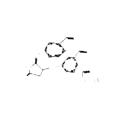 C=CC(=O)O.C=Cc1ccccc1.C=Cc1ccccc1.O=C1CC(O)C(=O)O1